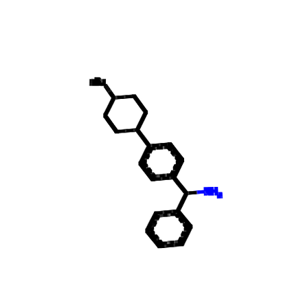 CCCCC1CCC(c2ccc(C(N)c3ccccc3)cc2)CC1